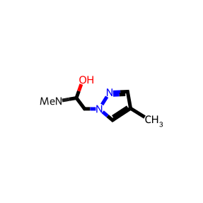 CNC(O)Cn1cc(C)cn1